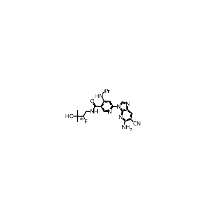 CC(C)Nc1cc(-n2cnc3cc(C#N)c(N)nc32)ncc1C(=O)NC[C@@H](F)C(C)(C)O